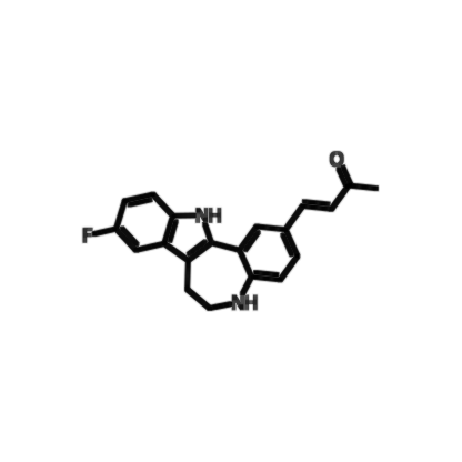 CC(=O)C=Cc1ccc2c(c1)-c1[nH]c3ccc(F)cc3c1CCN2